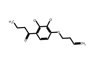 C=CCCOc1ccc(C(=O)CCC)c(Cl)c1Cl